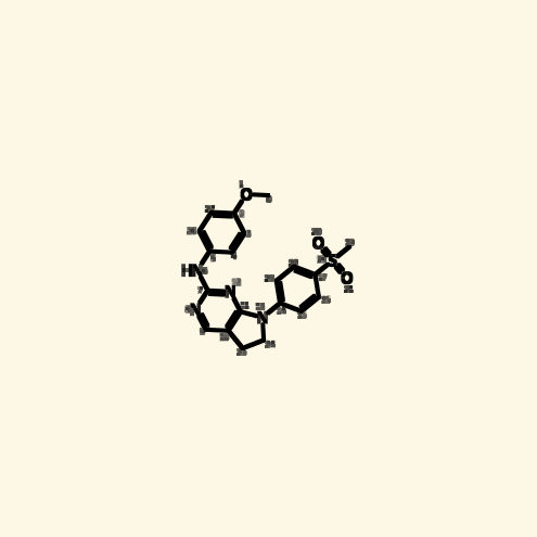 COc1ccc(Nc2ncc3c(n2)N(c2ccc(S(C)(=O)=O)cc2)CC3)cc1